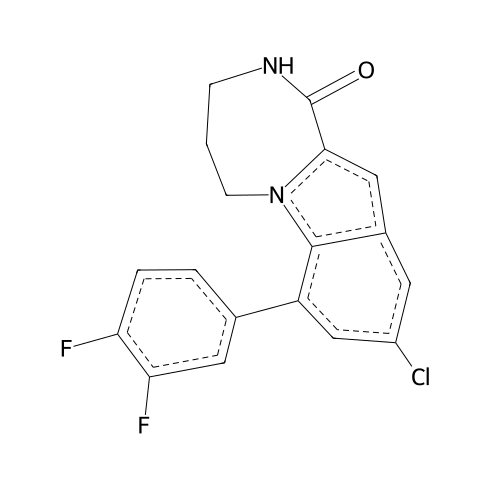 O=C1NCCCn2c1cc1cc(Cl)cc(-c3ccc(F)c(F)c3)c12